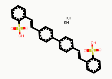 O=S(=O)(O)c1ccccc1C=Cc1ccc(-c2ccc(C=Cc3ccccc3S(=O)(=O)O)cc2)cc1.[KH].[KH]